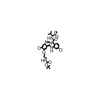 COC(=O)C(NC(=O)Cc1ccc(Cl)cc1Nc1ncnc2cc(OC)c(OCCCNC(=O)OC(C)(C)C)cc12)C(C)C